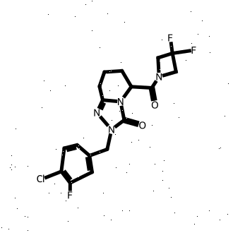 O=C(C1CCCc2nn(Cc3ccc(Cl)c(F)c3)c(=O)n21)N1CC(F)(F)C1